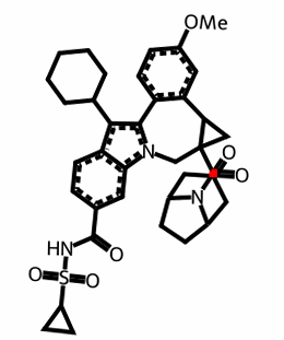 COc1ccc2c(c1)C1CC1(C(=O)N1C3CCC1CC(=O)C3)Cn1c-2c(C2CCCCC2)c2ccc(C(=O)NS(=O)(=O)C3CC3)cc21